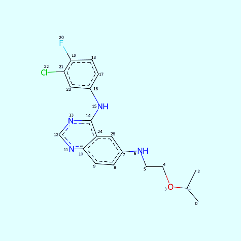 CC(C)OCCNc1ccc2ncnc(Nc3ccc(F)c(Cl)c3)c2c1